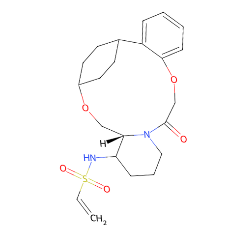 C=CS(=O)(=O)NC1CCCN2C(=O)COc3ccccc3C3CCC(CC3)OC[C@@H]12